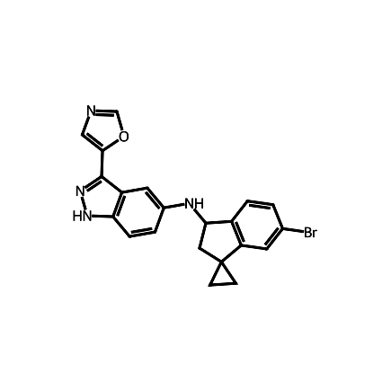 Brc1ccc2c(c1)C1(CC1)CC2Nc1ccc2[nH]nc(-c3cnco3)c2c1